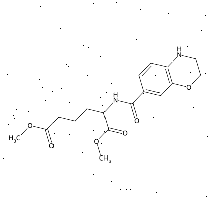 COC(=O)CCCC(NC(=O)c1ccc2c(c1)OCCN2)C(=O)OC